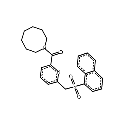 O=C(c1cccc(CS(=O)(=O)c2cccc3ccccc23)n1)N1CCCCCCC1